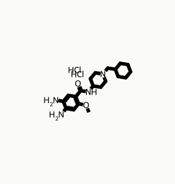 COc1cc(N)c(N)cc1C(=O)NC1CCN(CC2CCCCC2)CC1.Cl.Cl